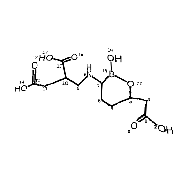 O=C(O)CC1CCC(NCC(CC(=O)O)C(=O)O)B(O)O1